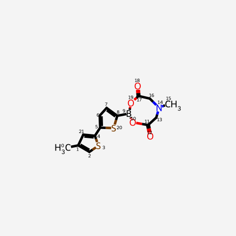 Cc1csc(-c2ccc(B3OC(=O)CN(C)CC(=O)O3)s2)c1